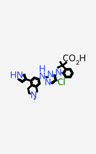 CN1CCc2c(cc(Nc3ncc(Cl)c(N4CC(C)(CC(=O)O)c5ccccc54)n3)cc2-c2cc[nH]c2)C1